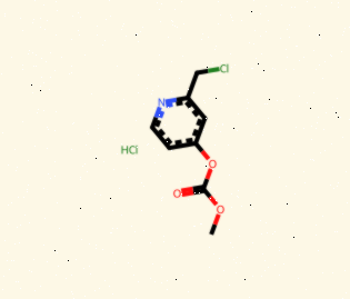 COC(=O)Oc1ccnc(CCl)c1.Cl